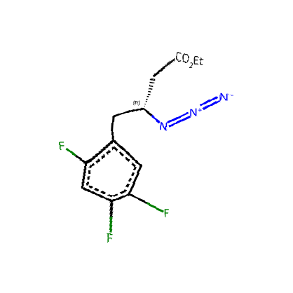 CCOC(=O)C[C@@H](Cc1cc(F)c(F)cc1F)N=[N+]=[N-]